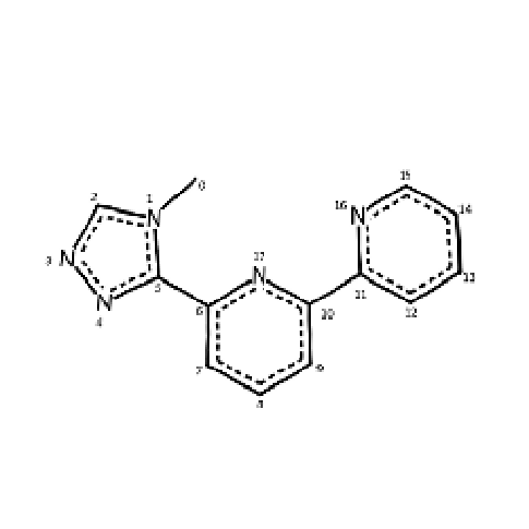 Cn1cnnc1-c1cccc(-c2ccccn2)n1